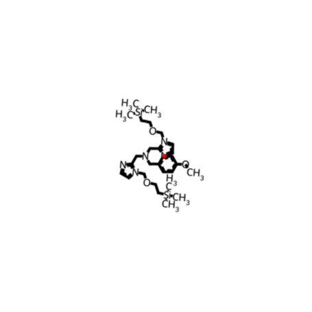 COc1ccc(CN(Cc2nccn2COCC[Si](C)(C)C)Cc2nccn2COCC[Si](C)(C)C)cc1